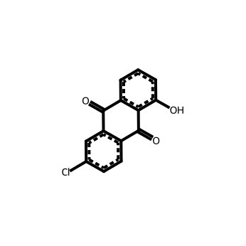 O=C1c2cc(Cl)ccc2C(=O)c2c(O)cccc21